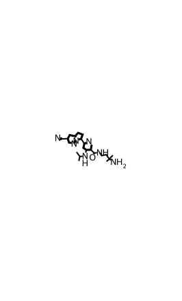 CC(C)Nc1cc(-c2ccc3cc(C#N)cnn23)ncc1C(=O)NCCC(C)(C)N